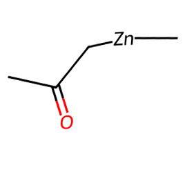 [CH3][Zn][CH2]C(C)=O